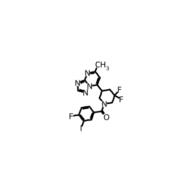 Cc1cc(C2CN(C(=O)c3ccc(F)c(I)c3)CC(F)(F)C2)n2ncnc2n1